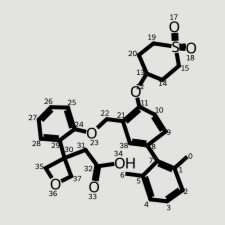 Cc1cccc(C)c1-c1ccc(OC2CCS(=O)(=O)CC2)c(COc2ccccc2C2(CC(=O)O)COC2)c1